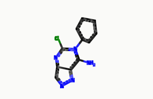 Nc1c2nncc-2nc(Cl)n1-c1ccccc1